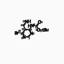 CC(C)(C)OC(=O)Nc1ncnc(Br)c1C=N